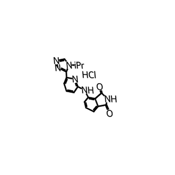 CC(C)n1cnnc1-c1cccc(Nc2cccc3c2C(=O)NC3=O)n1.Cl